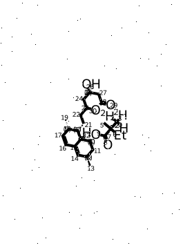 [2H]C([2H])([2H])C(C)(CC)C(=O)O[C@H]1C[C@@H](C)C=C2C=C[C@H](C)[C@H](CCC3C[C@@H](O)CC(=O)O3)[C@H]21